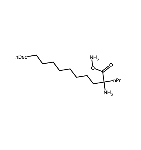 CCCCCCCCCCCCCCCCCCC(N)(CCC)C(=O)ON